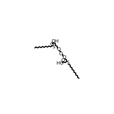 CCCCCCCCCCCCSC(CCOCCOCCOCCC(CC(=O)O)SCCCCCCCCCCCC)CC(=O)O